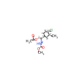 COC(=O)NN=C(COC(C)=O)c1ccc(Cl)c(C)c1